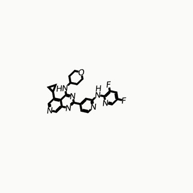 Fc1cnc(Nc2cc(-c3nc(NC4CCOCC4)c4c(C5CC5)cncc4n3)ccn2)c(F)c1